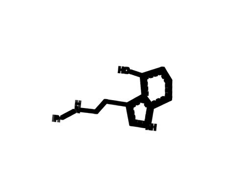 CC(C)NCCc1c[nH]c2cccc(O)c12